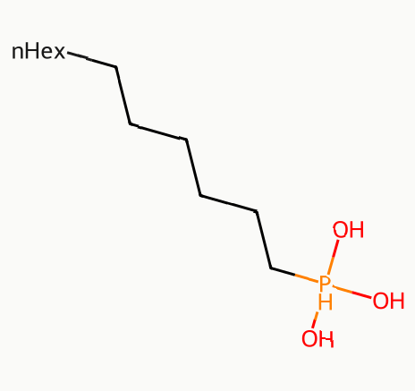 CCCCCCCCCCCC[PH](O)(O)O